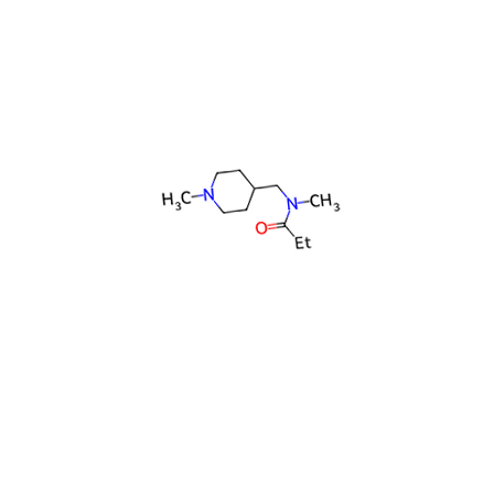 CCC(=O)N(C)CC1CCN(C)CC1